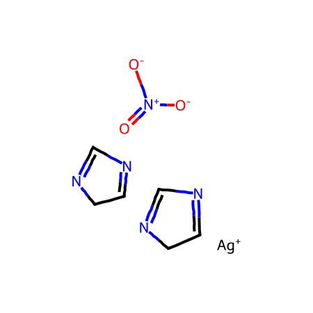 C1=NC=NC1.C1=NC=NC1.O=[N+]([O-])[O-].[Ag+]